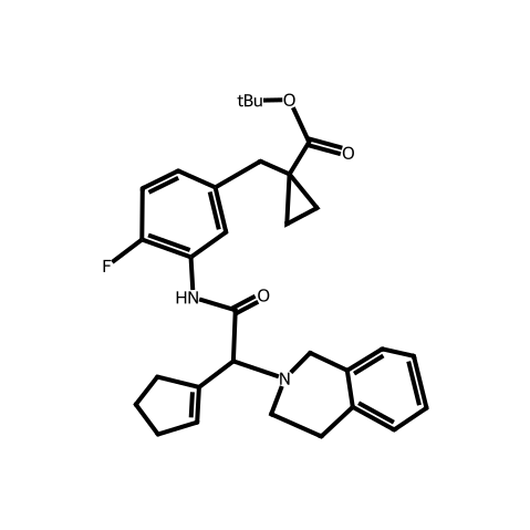 CC(C)(C)OC(=O)C1(Cc2ccc(F)c(NC(=O)C(C3=CCCC3)N3CCc4ccccc4C3)c2)CC1